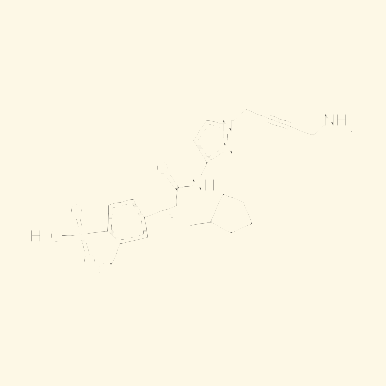 CS(=O)(=O)c1ccc([C@@H](CC2CCCC2)C(=O)Nc2ccn(CC#CCN)n2)cc1Cl